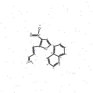 C=C/C=C/c1occc1[N+](=O)[O-].c1ccc2ncccc2c1